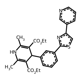 CCOC(=O)C1=C(C)NC(C)=C(C(=O)OCC)C1c1cccc(-c2nc(-c3cccnc3)cs2)c1